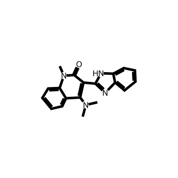 CN(C)c1c(-c2nc3ccccc3[nH]2)c(=O)n(C)c2ccccc12